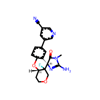 CN1C(=O)[C@]2(N=C1N)c1cc(-c3cncc(C#N)c3)ccc1O[C@H]1CCOCC12F